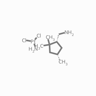 C[C@H]1C[C@@H](CN)C(C)(C)C1.[NH2][Pt]([Cl])[Cl]